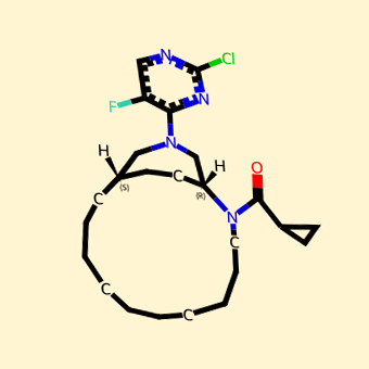 O=C(C1CC1)N1CCCCCCCCCC[C@H]2CC[C@@H]1CN(c1nc(Cl)ncc1F)C2